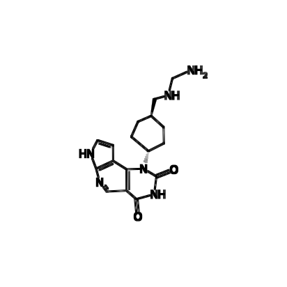 NCNC[C@H]1CC[C@H](n2c(=O)[nH]c(=O)c3cnc4[nH]ccc4c32)CC1